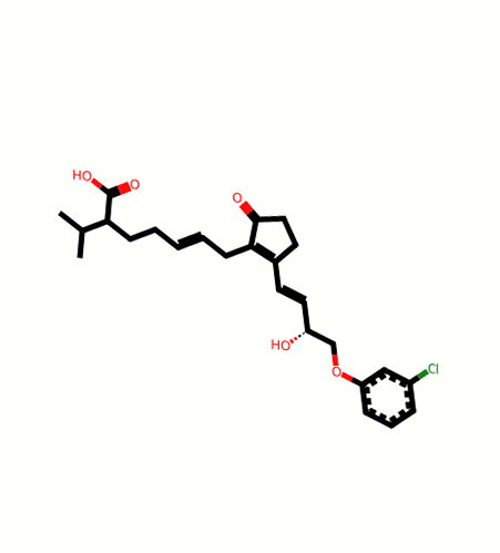 CC(C)C(CCC=CCC1=C(/C=C/[C@@H](O)COc2cccc(Cl)c2)CCC1=O)C(=O)O